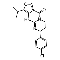 CC(C)c1onc2c1NC1=N[C@@H](c3ccc(Cl)cc3)CCN1C2=O